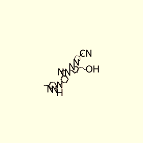 Cc1ccc(Nc2ccc3c(c2)ncn3-c2ccc(CCO)c(N3CCC(C#N)C3)n2)nn1